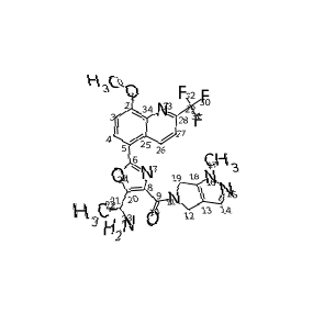 COc1ccc(-c2nc(C(=O)N3Cc4cnn(C)c4C3)c([C@H](C)N)o2)c2ccc(C(F)(F)F)nc12